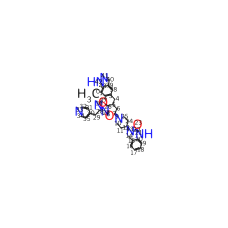 Cc1cc(CC(CC(=O)N2CCC(N3Cc4ccccc4NC3=O)CC2)c2nc(Cc3ccncc3)no2)cc2cn[nH]c12